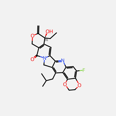 C=C1OCc2c(cc3n(c2=O)Cc2c-3nc3cc(F)c4c(c3c2CC(C)C)OCCO4)[C@@]1(O)CC